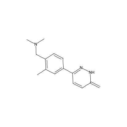 C=C1C=CC(c2ccc(CN(C)C)c(C)c2)=NN1